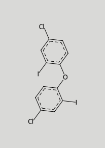 Clc1ccc(Oc2ccc(Cl)cc2I)c(I)c1